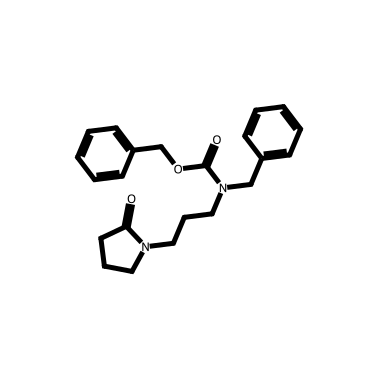 O=C1CCCN1CCCN(Cc1ccccc1)C(=O)OCc1ccccc1